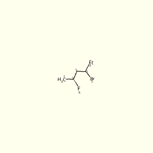 [CH2]CC(Br)CC(C)F